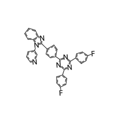 Fc1ccc(-c2nc(-c3ccc(F)cc3)nc(-c3ccc(-c4nc5ccccc5n4-c4cccnc4)cc3)n2)cc1